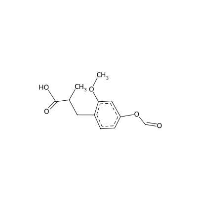 COc1cc(OC=O)ccc1CC(C)C(=O)O